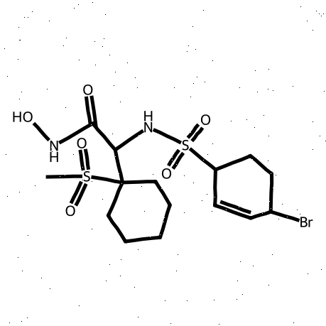 CS(=O)(=O)C1(C(NS(=O)(=O)C2C=CC(Br)CC2)C(=O)NO)CCCCC1